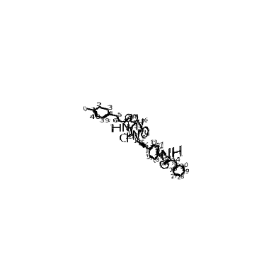 Cc1ccc(CCC(=O)Nc2c(Cl)n(CC#Cc3ccc(NC(=O)Cc4ccccc4)cc3)c(=O)n(C)c2=O)cc1